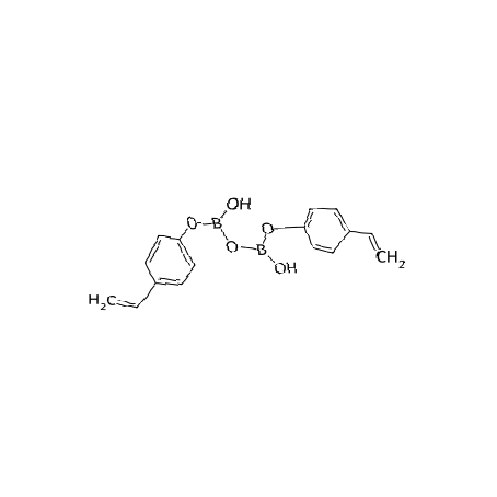 C=Cc1ccc(OB(O)OB(O)Oc2ccc(C=C)cc2)cc1